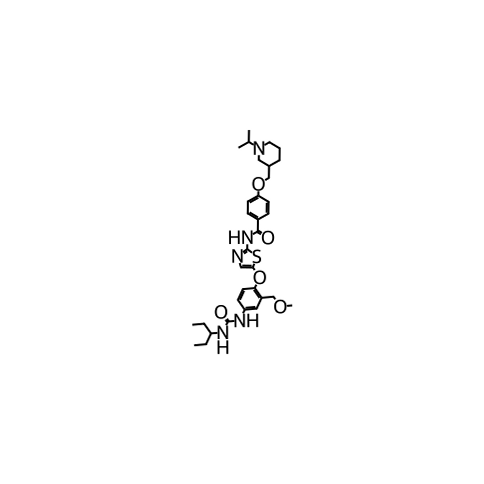 CCC(CC)NC(=O)Nc1ccc(Oc2cnc(NC(=O)c3ccc(OCC4CCCN(C(C)C)C4)cc3)s2)c(COC)c1